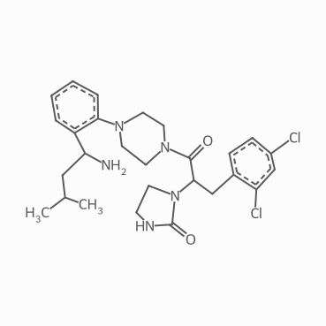 CC(C)CC(N)c1ccccc1N1CCN(C(=O)C(Cc2ccc(Cl)cc2Cl)N2CCNC2=O)CC1